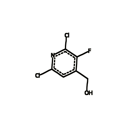 OCc1cc(Cl)nc(Cl)c1F